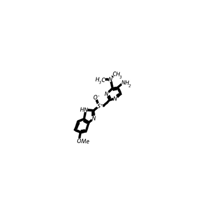 COc1ccc2[nH]c([S+]([O-])Cc3ncc(N)c(N(C)C)n3)nc2c1